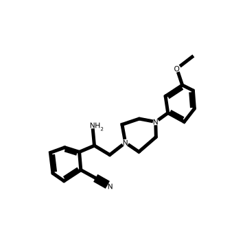 COc1cccc(N2CCN(CC(N)c3ccccc3C#N)CC2)c1